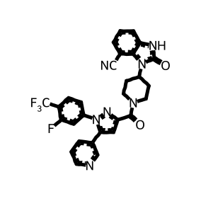 N#Cc1cccc2[nH]c(=O)n(C3CCN(C(=O)c4cc(-c5cccnc5)n(-c5ccc(C(F)(F)F)c(F)c5)n4)CC3)c12